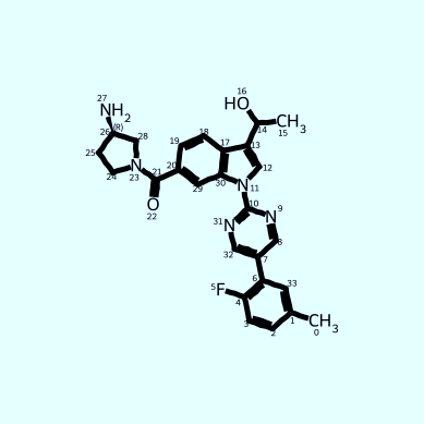 Cc1ccc(F)c(-c2cnc(-n3cc(C(C)O)c4ccc(C(=O)N5CC[C@@H](N)C5)cc43)nc2)c1